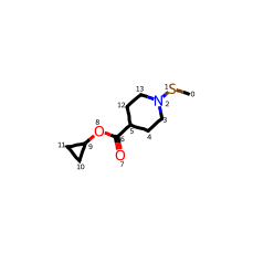 CSN1CCC(C(=O)OC2CC2)CC1